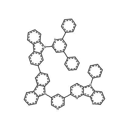 c1ccc(-c2cc(-c3ccccc3)nc(-n3c4ccccc4c4ccc(-c5ccc6c(c5)c5ccccc5n6-c5cncc(-c6ccc7c(n6)c6ncccc6n7-c6ccccc6)c5)cc43)c2)cc1